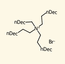 CCCCCCCCCCCC[N+](CCCCCCCCCCC)(CCCCCCCCCCCC)CCCCCCCCCCCC.[Br-]